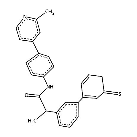 Cc1cc(-c2ccc(NC(=O)C(C)c3cccc(C4=CC(=S)CC=C4)c3)cc2)ccn1